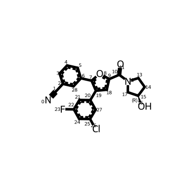 N#Cc1cccc(-c2oc(C(=O)N3CC[C@@H](O)C3)cc2-c2cc(F)cc(Cl)c2)c1